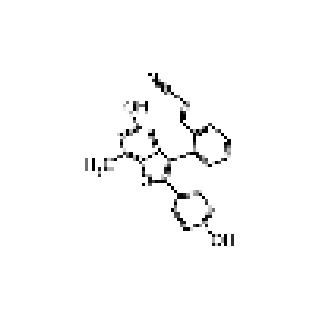 Cc1cc(O)cc2c(-c3ccccc3/C=C/C#N)c(-c3ccc(O)cc3)oc12